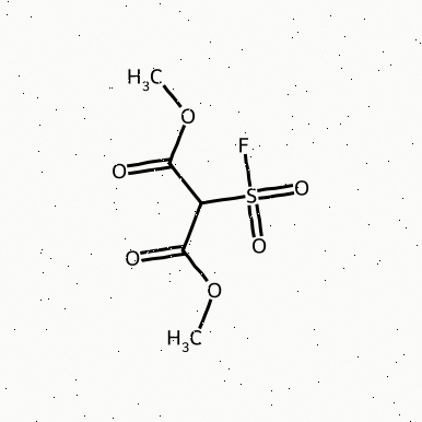 COC(=O)C(C(=O)OC)S(=O)(=O)F